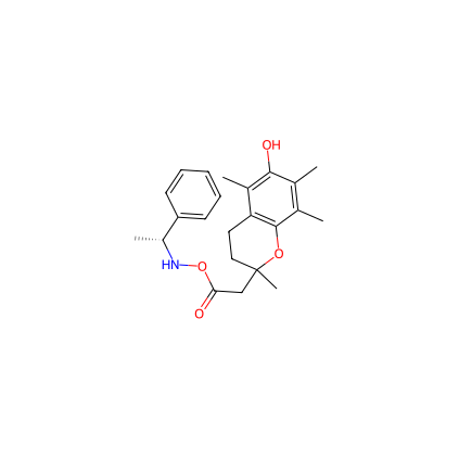 Cc1c(C)c2c(c(C)c1O)CCC(C)(CC(=O)ON[C@H](C)c1ccccc1)O2